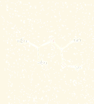 CCCCC(CCCC)OC(CCC)[O][Sn]